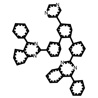 c1ccc(-c2nc(-c3cccc(-c4ccc(-c5cncnc5)cc4-c4cccc(-c5nc(-c6ccccc6)c6ccccc6n5)c4)c3)nc3ccccc23)cc1